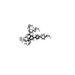 CCn1c(CN)[n+](CC)c2cc(-c3ccc(N4CCN(C)CC4)nc3)cc(C(=O)N(CCOC)CCOC)c21